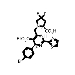 CCOC(=O)C1=C(CN2CC(F)(F)C[C@H]2C(=O)O)NC(c2nccs2)=N[C@H]1c1ccc(Br)cc1